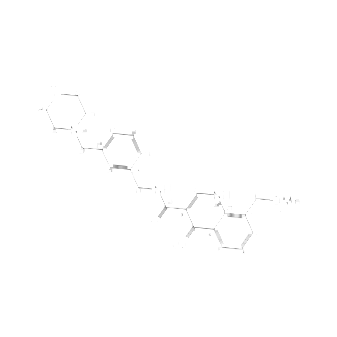 COCc1cccc2c(=O)c(C(=O)NCc3cccc(CN4CCOCC4)c3)c[nH]c12